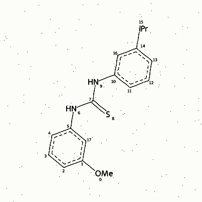 COc1cccc(NC(=S)Nc2cccc(C(C)C)c2)c1